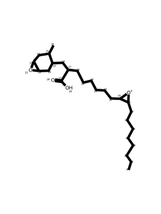 CCCCCCCCC1OC1CCCCCCC(CC1CC2OC2CC1C)C(=O)O